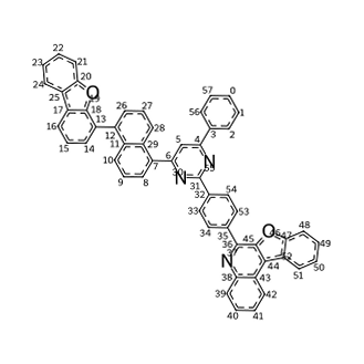 c1ccc(-c2cc(-c3cccc4c(-c5cccc6c5oc5ccccc56)cccc34)nc(-c3ccc(-c4nc5ccccc5c5c4oc4ccccc45)cc3)n2)cc1